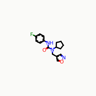 O=C(Nc1ccc(F)cc1)N(Cc1cnoc1)C1CCCC1